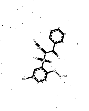 CCCCCOc1ccc(C(C)(C)C)cc1S(=O)(=O)C(=[N+]=[N-])C(=O)c1ccccc1